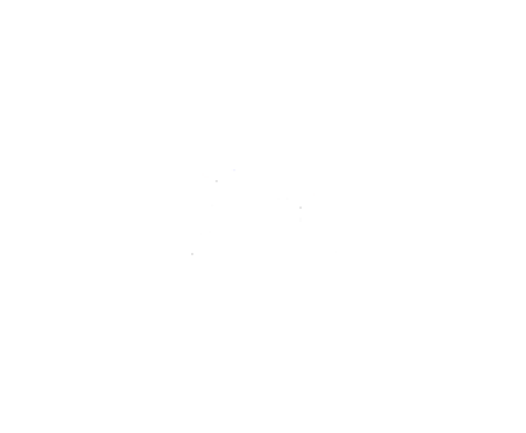 COc1ccc(C2CNC(=O)C(=Cc3ccc4c(c3)OCO4)C2)cc1OC1CCCC1